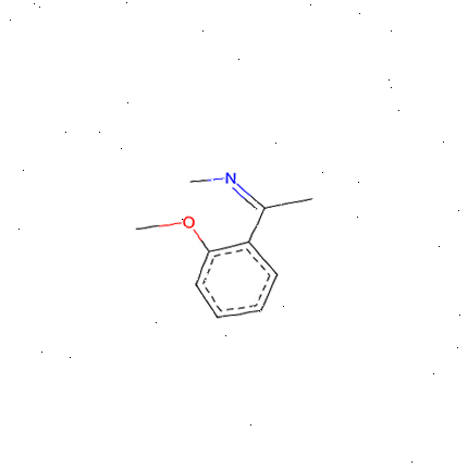 C/N=C(/C)c1ccccc1OC